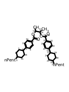 CCCCCC1CCC(c2ccc(C(=O)OC(C)C(C)OC(=O)c3ccc(C4CCC(CCCCC)CC4)cc3)cc2)CC1